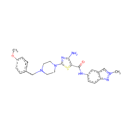 COc1ccc(CN2CCN(c3nc(N)c(C(=O)Nc4ccc5nn(C)cc5c4)s3)CC2)cc1